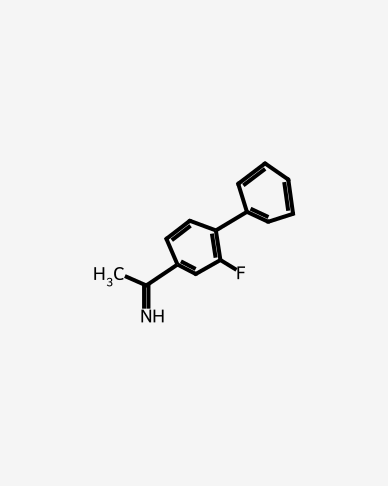 CC(=N)c1ccc(-c2ccccc2)c(F)c1